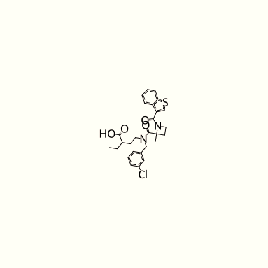 CCC(CCN(Cc1cccc(Cl)c1)C(=O)C1(C)CCN1C(=O)c1csc2ccccc12)C(=O)O